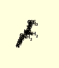 CN(C)c1ccc(N=Nc2ccc(C(=O)C(N)CCn3cnc4c(OCc5ccc(CNC(=O)C(F)(F)F)cc5)nc(N)nc43)cc2)cc1